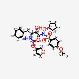 COc1ccc(S(=O)(=O)N(C[C@H](O)[C@H](Cc2ccccc2)NC(=O)Oc2ccoc2)OC2CCCC2)cc1